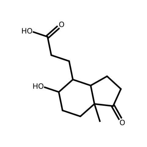 CC12CCC(O)C(CCC(=O)O)C1CCC2=O